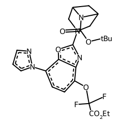 CCOC(=O)C(F)(F)Oc1ccc(-n2cccn2)c2oc(N3CC4CC(C3)N4C(=O)OC(C)(C)C)nc12